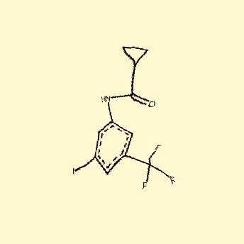 O=C(Nc1cc(I)cc(C(F)(F)F)c1)C1CC1